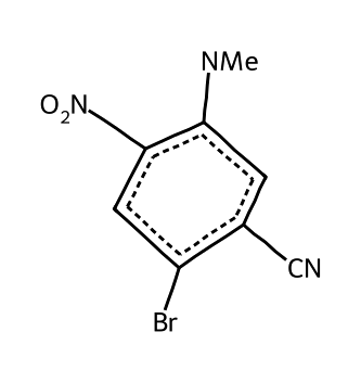 CNc1cc(C#N)c(Br)cc1[N+](=O)[O-]